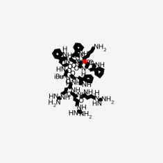 CC[C@H](C)[C@H](NC(=O)[C@H](Cc1c[nH]c2ccccc12)NC(=O)[C@H](CCCNC(=N)N)NC(=O)[C@H](CCCNC(=N)N)NC(=O)[C@@H](N)CCCNC(=N)N)C(=O)N[C@@H](Cc1c[nH]c2ccccc12)C(=O)N[C@@H](Cc1c[nH]c2ccccc12)C(=O)N[C@@H](CC(C)C)C(=O)N[C@@H](Cc1c[nH]c2ccccc12)C(=O)N[C@@H](CCCCN)C(=O)O